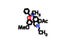 C=CCN1CCC2(c3cccc(OC)c3)C[C@@H](N(C)C(=O)c3ccccc3)CCC2(OC(C)=O)C1